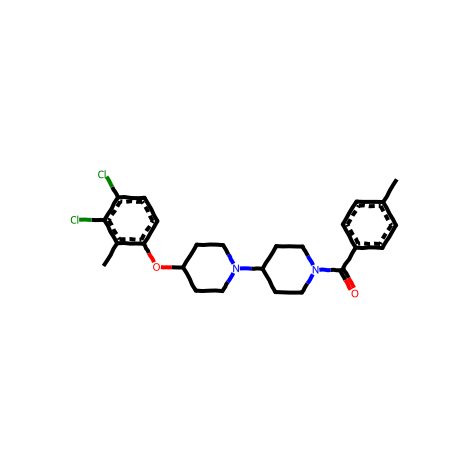 Cc1ccc(C(=O)N2CCC(N3CCC(Oc4ccc(Cl)c(Cl)c4C)CC3)CC2)cc1